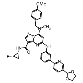 COc1ccc(CN(C)c2cc(Nc3cccc(-c4ccc(C5OCCO5)cn4)c3)nc3c(C(=O)N[C@@H]4C[C@@H]4F)cnn23)cc1